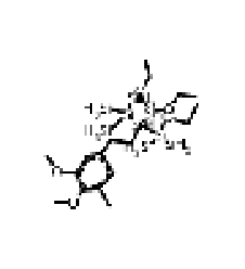 CCO[SiH](OCC)[Si](CCc1cc(C)c(OC)c(OC)c1)([Si]([SiH3])([SiH3])[SiH3])[Si]([SiH3])([SiH3])OCC